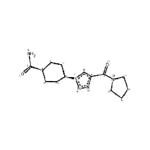 NC(=O)[C@H]1CC[C@@H](n2cc(C(=O)N3CCCC3)nn2)CC1